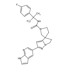 CC(C)(NC(=O)N1CCC2(CCn3nc(-c4cnc5[nH]ccc5c4)cc32)C1)c1ccc(F)cc1